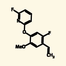 C=Cc1cc(OC)c(Oc2cccc(F)n2)cc1F